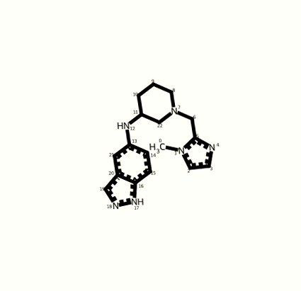 Cn1ccnc1CN1CCCC(Nc2ccc3[nH]ncc3c2)C1